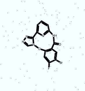 O=C1Nc2cccc(n2)-c2nncn2Oc2cc(F)c(Br)cc21